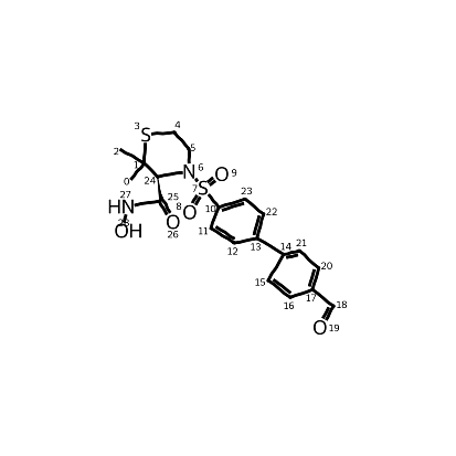 CC1(C)SCCN(S(=O)(=O)c2ccc(-c3ccc(C=O)cc3)cc2)[C@H]1C(=O)NO